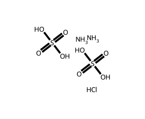 Cl.N.N.O=S(=O)(O)O.O=S(=O)(O)O